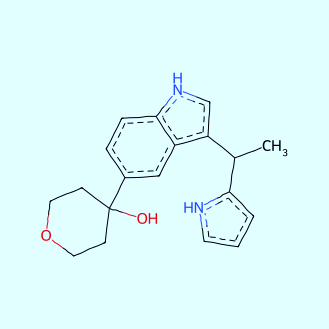 CC(c1ccc[nH]1)c1c[nH]c2ccc(C3(O)CCOCC3)cc12